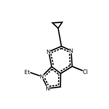 CCn1ncc2c(Cl)nc(C3CC3)nc21